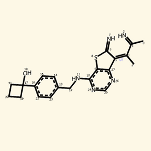 CC(=N)/C(C)=C1\C(=N)Sc2c(NCc3ccc(C4(O)CCC4)cc3)ncnc21